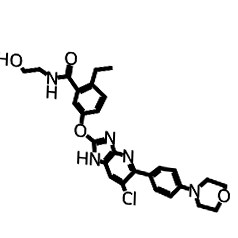 CCc1ccc(Oc2nc3nc(-c4ccc(N5CCOCC5)cc4)c(Cl)cc3[nH]2)cc1C(=O)NCCO